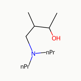 CCCN(CCC)CC(C)C(C)O